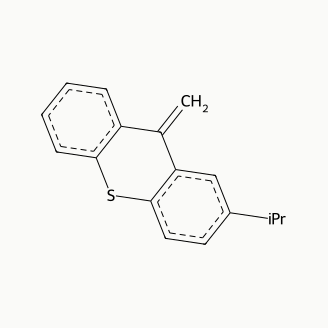 C=C1c2ccccc2Sc2ccc(C(C)C)cc21